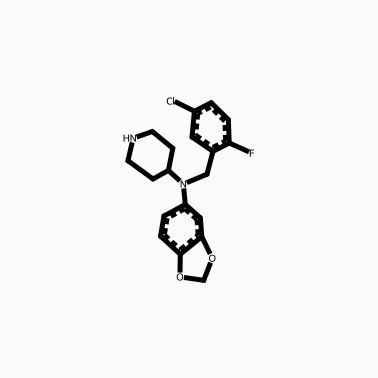 Fc1ccc(Cl)cc1CN(c1ccc2c(c1)OCO2)C1CCNCC1